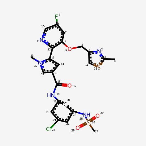 Cc1nc(COc2cc(F)cnc2-c2cc(C(=O)Nc3cc(Cl)cc(NS(C)(=O)=O)c3)cn2C)cs1